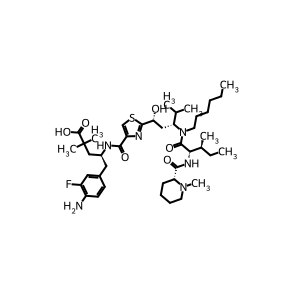 CCCCCCN(C(=O)[C@@H](NC(=O)[C@H]1CCCCN1C)[C@@H](C)CC)[C@H](C[C@@H](O)c1nc(C(=O)N[C@@H](Cc2ccc(N)c(F)c2)CC(C)(C)C(=O)O)cs1)C(C)C